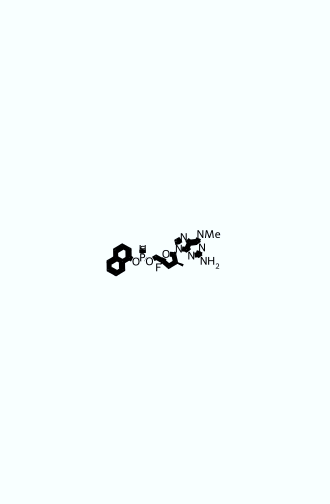 CNc1nc(N)nc2c1ncn2[C@@H]1O[C@](F)(CO[PH](=S)Oc2cccc3ccccc23)C[C@@H]1C